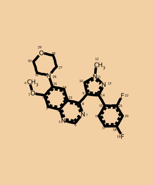 COc1cc2ncnc(-c3cn(C)nc3-c3ccc(F)cc3F)c2cc1N1CCOCC1